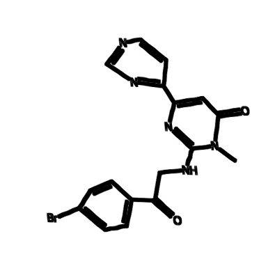 Cn1c(NCC(=O)c2ccc(Br)cc2)nc(-c2ccncn2)cc1=O